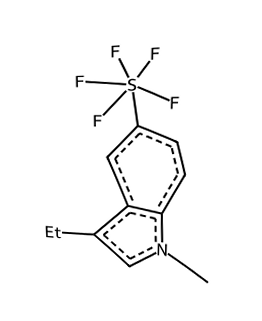 CCc1cn(C)c2ccc(S(F)(F)(F)(F)F)cc12